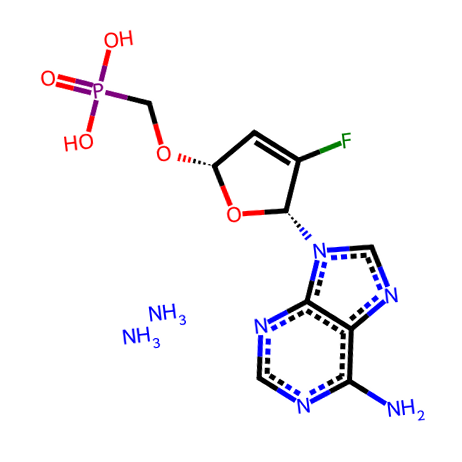 N.N.Nc1ncnc2c1ncn2[C@@H]1O[C@H](OCP(=O)(O)O)C=C1F